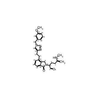 C=C(CCC(C=O)N1Cc2c(CCc3cn(Cc4cccc(OC)c4)nn3)cccc2C1=O)NC